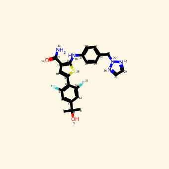 CC(C)(O)c1cc(F)c(-c2cc(C(N)=O)c(Nc3ccc(Cn4nccn4)cc3)s2)c(F)c1